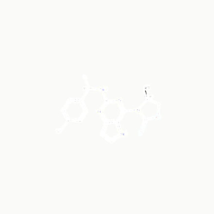 CCc1ccc([C@H](C)Nc2nc(N3C(=O)OC[C@@H]3C(C)C)c3[nH]ccc3n2)cc1